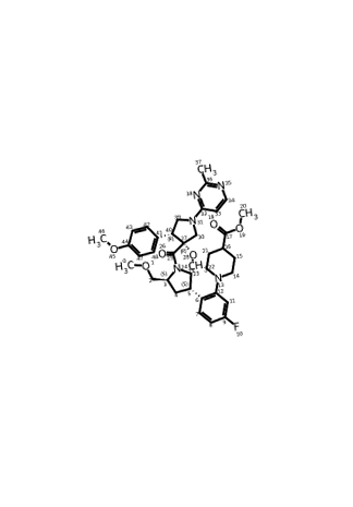 COC[C@@H]1C[C@@H](c2ccc(F)cc2N2CCC(C(=O)OC)CC2)CN1C(=O)[C@]1(OC)CN(c2ccnc(C)n2)C[C@H]1c1ccc(OC)cc1